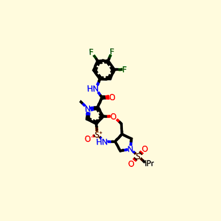 CC(C)S(=O)(=O)N1CC2COc3c(cn(C)c3C(=O)Nc3cc(F)c(F)c(F)c3)[S+]([O-])NC2C1